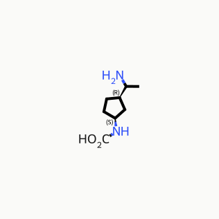 CC(N)[C@@H]1CC[C@H](NC(=O)O)C1